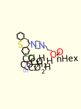 CCCCCCC(=O)OCCCN1CCN(C2=Cc3ccccc3Sc3ccc(Cl)cc32)CC1.O=C(O)/C=C\C(=O)O.O=C(O)/C=C\C(=O)O